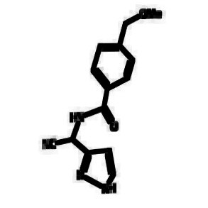 COCc1ccc(C(=O)NC(C#N)c2cc[nH]n2)cc1